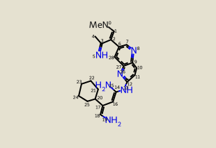 CN/C=C(\C(C)=N)c1cnc2ccc(N/C(N)=C/C(=C\N)C3CCCCC3)nc2c1